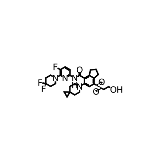 O=C(Nc1ccc(F)c(N2CCC(F)(F)CC2)n1)c1c(N2CCC3(CC2)CC3)cc(S(=O)(=O)CCO)c2c1CCC2